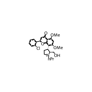 CCCN1CC[C@H](c2c(OC)cc(OC)c3c(=O)cc(-c4ccccc4Cl)oc23)[C@H]1CO